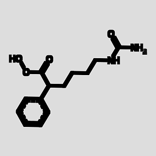 NC(=O)NCCCCC(C(=O)OO)c1ccccc1